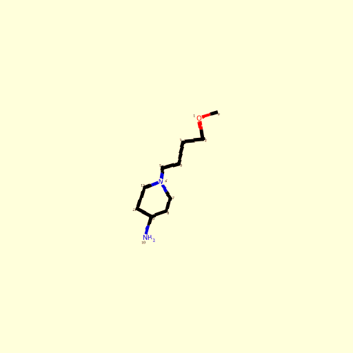 COCCCCN1CCC(N)CC1